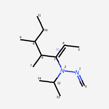 C=NN(/C(=C\C)C(C)C(C)CC)C(C)C